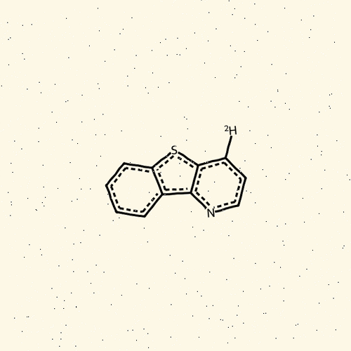 [2H]c1ccnc2c1sc1ccccc12